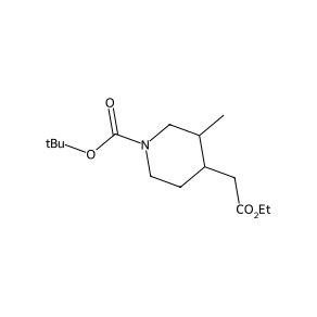 CCOC(=O)CC1CCN(C(=O)OC(C)(C)C)CC1C